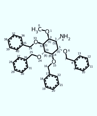 CO[C@H]1[C@H](N)[C@H](OCc2ccccc2)[C@@H](OCc2ccccc2)[C@H](OCc2ccccc2)[C@H]1OCc1ccccc1